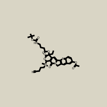 CCC1(OC(=O)CCCNC(=O)OC(C)(C)C)C(=O)OC([Si](C)(C)CCCC#N)c2c1cc1n(c2=O)Cc2cc3cc(OC(C)=O)ccc3nc2-1